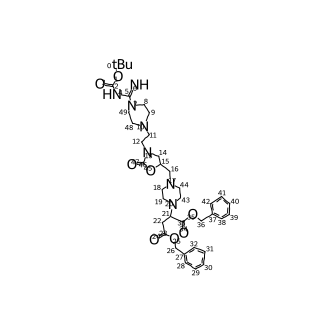 CC(C)(C)OC(=O)NC(=N)N1CCN(CCN2CC(CN3CCN(C(CC(=O)OCc4ccccc4)C(=O)OCc4ccccc4)CC3)OC2=O)CC1